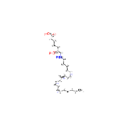 CCCCC/C=C\C/C=C\C/C=C\C/C=C\CCCCNCC(O)CCCCC(=O)O